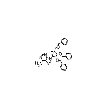 Nc1ncnc2c1ncn2[C@H]1O[C@@H](COCc2ccccc2)[C@H](OCc2ccccc2)[C@H]1OCc1ccccc1